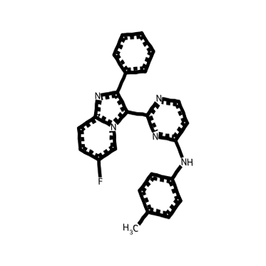 Cc1ccc(Nc2ccnc(-c3c(-c4ccccc4)nc4ccc(F)cn34)n2)cc1